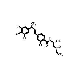 Cc1cc(/C=C/C(c2cc(Cl)c(Cl)c(Cl)c2)C(F)(F)F)ccc1C(=O)N[C@H](C)C[S+]([O-])CC(F)(F)F